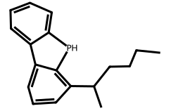 CCCCC(C)c1cccc2c1[pH]c1ccccc12